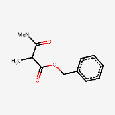 CNC(=O)C(C)C(=O)OCc1ccccc1